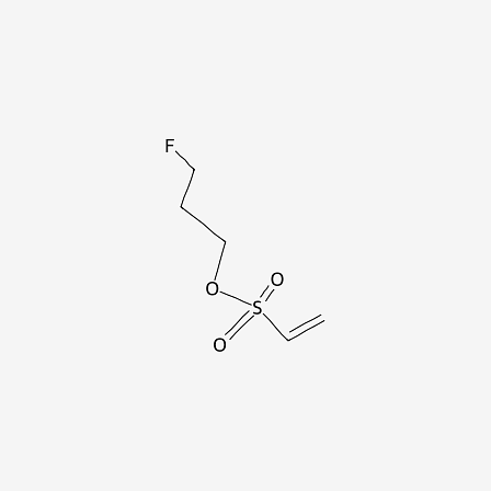 C=CS(=O)(=O)OCCCF